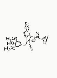 COc1cc(/C=C2/C(C)=C(CC(=O)NCc3cnco3)c3cc(OC(F)(F)F)ccc32)cc(OC)c1O